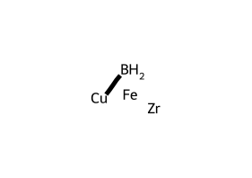 [BH2][Cu].[Fe].[Zr]